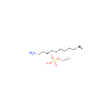 CCCCCCCCCCN.CCOS(=O)(=O)O